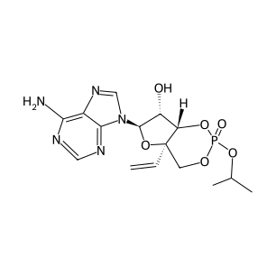 C=C[C@@]12COP(=O)(OC(C)C)O[C@H]1[C@@H](O)[C@H](n1cnc3c(N)ncnc31)O2